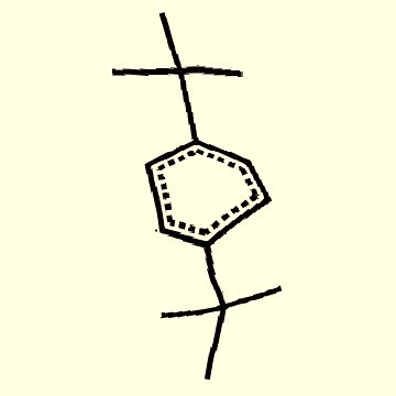 CC(C)(C)c1[c]cc(C(C)(C)C)cc1